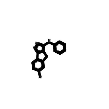 Clc1ccc2c(c1)Cc1c-2n[nH]c1Nc1ccccc1